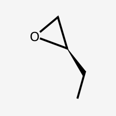 CC[C@@H]1CO1